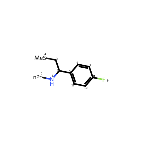 CCCNC(CSC)c1ccc(F)cc1